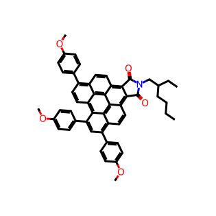 CCCCC(CC)Cn1c(=O)c2c3ccc4c(-c5ccc(OC)cc5)ccc5c6c(-c7ccc(OC)cc7)cc(-c7ccc(OC)cc7)c7ccc(c2c1=O)c(c76)c3c45